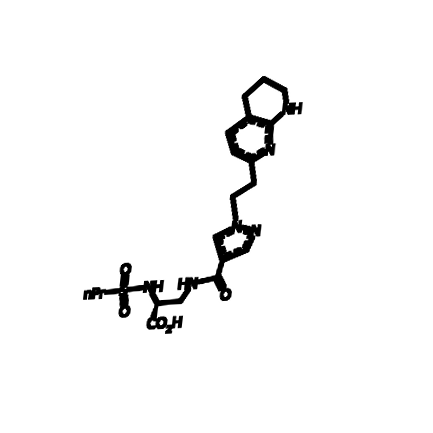 CCCS(=O)(=O)N[C@@H](CNC(=O)c1cnn(CCc2ccc3c(n2)NCCC3)c1)C(=O)O